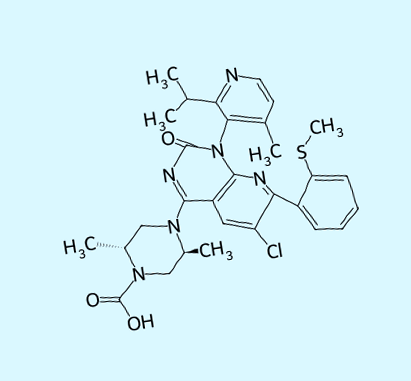 CSc1ccccc1-c1nc2c(cc1Cl)c(N1C[C@@H](C)N(C(=O)O)C[C@@H]1C)nc(=O)n2-c1c(C)ccnc1C(C)C